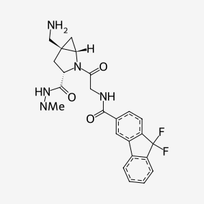 CNNC(=O)[C@@H]1C[C@]2(CN)C[C@@H]2N1C(=O)CNC(=O)c1ccc2c(c1)-c1ccccc1C2(F)F